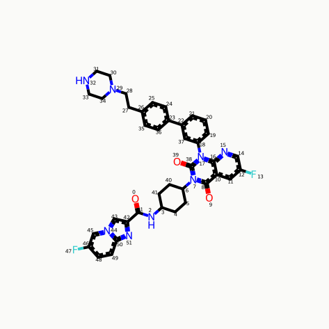 O=C(NC1CCC(n2c(=O)c3cc(F)cnc3n(-c3cccc(-c4ccc(CCN5CCNCC5)cc4)c3)c2=O)CC1)c1cn2cc(F)ccc2n1